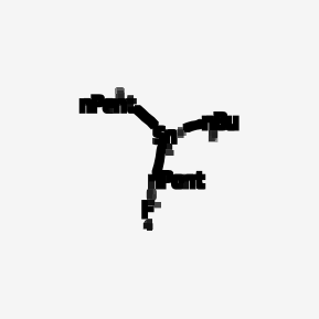 CCCC[CH2][Sn+]([CH2]CCC)[CH2]CCCC.[F-]